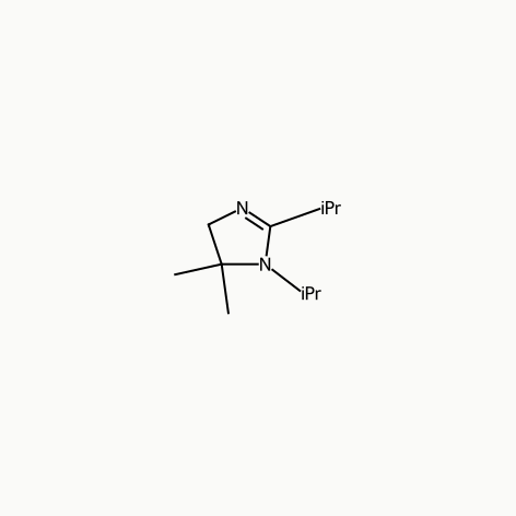 CC(C)C1=NCC(C)(C)N1C(C)C